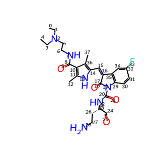 CCN(CC)CCNC(=O)c1c(C)[nH]c(/C=C2\C(=O)N(C(=O)N[C@H](C=O)CCN)c3ccc(F)cc32)c1C